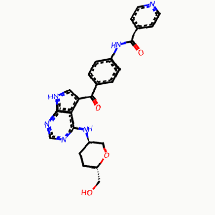 O=C(Nc1ccc(C(=O)c2c[nH]c3ncnc(N[C@@H]4CC[C@@H](CO)OC4)c23)cc1)c1ccncc1